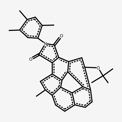 Cc1cc(C)c(-n2c(=O)c3c4cc(C)c5ccc6ccc7c(OC(C)(C)C)cc(c3c2=O)c2c7c6c5c42)cc1C